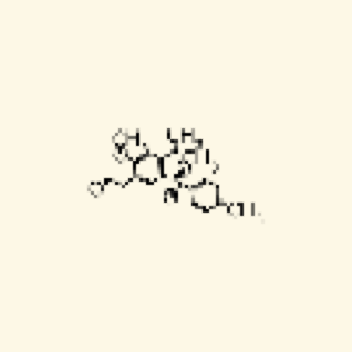 COc1cc(C(C)C)c(S(=O)(=O)c2ccc(C)cc2)cc1CC=O